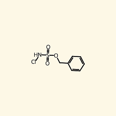 O=S(=O)(NCl)OCc1ccccc1